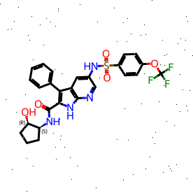 O=C(N[C@H]1CCC[C@H]1O)c1[nH]c2ncc(NS(=O)(=O)c3ccc(OC(F)(F)F)cc3)cc2c1-c1ccccc1